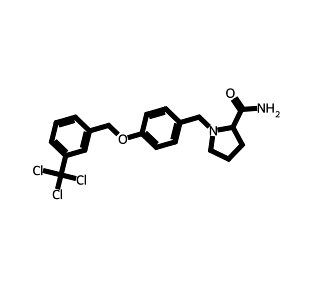 NC(=O)C1CCCN1Cc1ccc(OCc2cccc(C(Cl)(Cl)Cl)c2)cc1